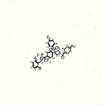 CC(=O)N1CCN(C(=O)[C@H]2C[C@](c3ccc(C(OCc4c(F)cccc4F)(C(F)(F)F)C(F)(F)F)cc3)(S(=O)(=O)c3ccc(F)cc3)C2)CC1